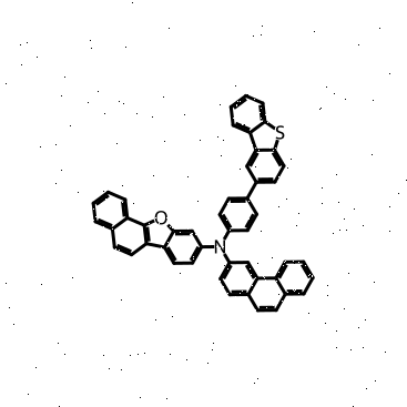 c1ccc2c(c1)ccc1ccc(N(c3ccc(-c4ccc5sc6ccccc6c5c4)cc3)c3ccc4c(c3)oc3c5ccccc5ccc43)cc12